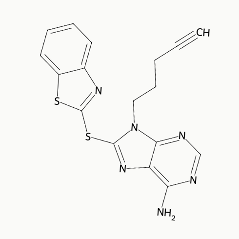 C#CCCCn1c(Sc2nc3ccccc3s2)nc2c(N)ncnc21